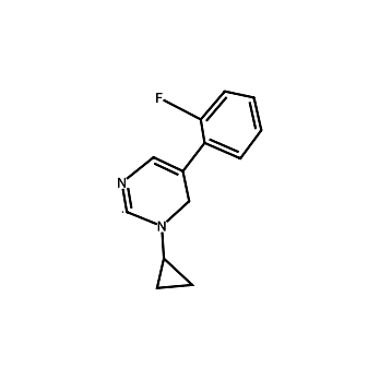 Fc1ccccc1C1=CN=[C]N(C2CC2)C1